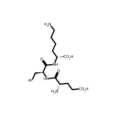 CC(C)C[C@H](NC(=O)[C@@H](N)CCC(=O)O)C(=O)N[C@H](CCCCN)C(=O)O